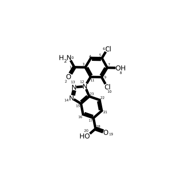 NC(=O)c1cc(Cl)c(O)c(Cl)c1-n1nnc2cc(C(=O)O)ccc21